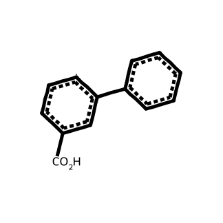 O=C(O)c1cc[c]c(-c2ccccc2)c1